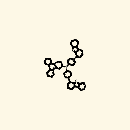 c1ccc2c(c1)oc1c(-c3ccc(N(c4ccc(-c5cccc6c5sc5ccccc56)cc4)c4ccc5c6ccccc6c6ccccc6c5c4)cc3)cccc12